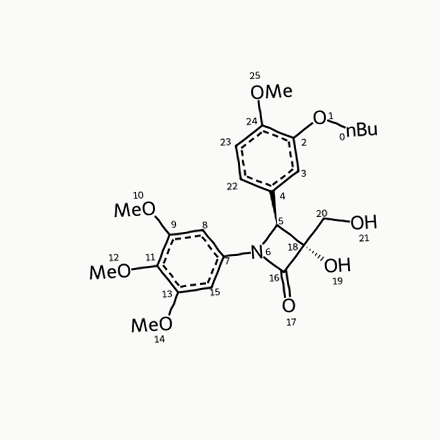 CCCCOc1cc([C@@H]2N(c3cc(OC)c(OC)c(OC)c3)C(=O)[C@]2(O)CO)ccc1OC